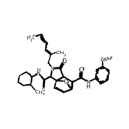 C/C=C\C=C(/C)CN1C(=O)C2C(C(=O)Nc3cccc(OC)c3)C3C=CC2(O3)C1C(=O)NC1CCCCC1C